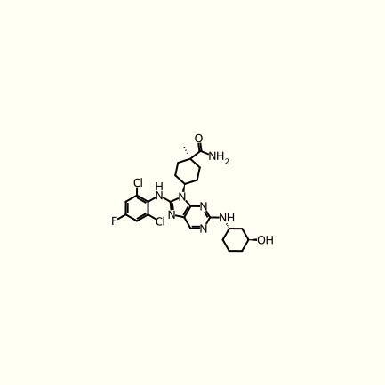 C[C@]1(C(N)=O)CC[C@@H](n2c(Nc3c(Cl)cc(F)cc3Cl)nc3cnc(N[C@H]4CCC[C@H](O)C4)nc32)CC1